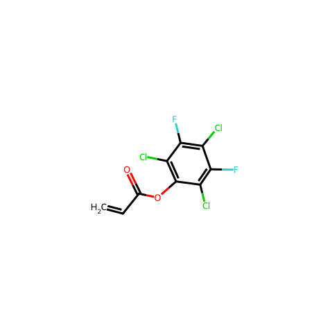 C=CC(=O)Oc1c(Cl)c(F)c(Cl)c(F)c1Cl